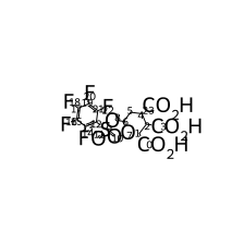 O=C(O)CC(C(=O)O)C(CC(=O)OS(=O)(=O)c1c(F)c(F)c(F)c(F)c1F)C(=O)O